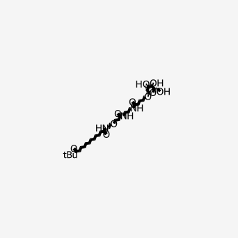 CC(C)(C)C(=O)CCCCCCCCCCC(=O)NCCOCCC(=O)NCCCNC(=O)CCCCO[C@H]1C[C@@H](O)[C@@H](O)[C@@H](CO)O1